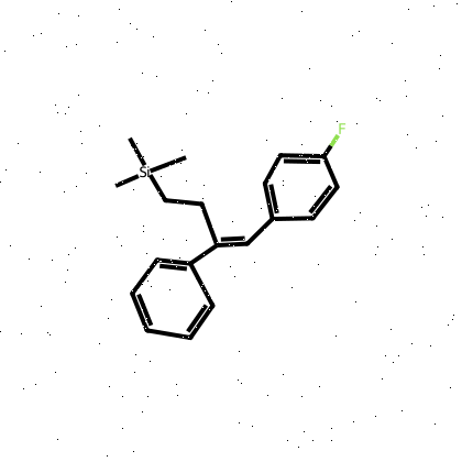 C[Si](C)(C)CC/C(=C\c1ccc(F)cc1)c1ccccc1